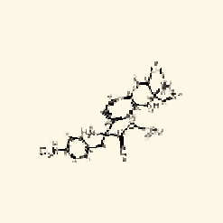 CC1Oc2ccc(C(N)(Cc3ccc([N+](=O)[O-])cc3)C(=O)OC(C)(C)C)cc2NC1(N)C=S